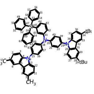 Cc1ccc2c(c1)c1cc(C)ccc1n2-c1ccc(N(c2ccc(-n3c4ccc(C(C)(C)C)cc4c4cc(C(C)(C)C)ccc43)cc2)c2cccc([Si](c3ccccc3)(c3ccccc3)c3ccccc3)c2)cc1